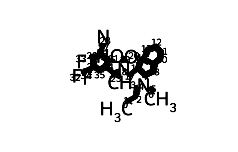 CCCCN(CC)c1cc2ccccc2cc1CN(C(=O)O)C(C)c1cc(C#N)cc(C(F)(F)F)c1